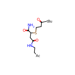 CC(=O)CCNC(=O)CC(SCCC(=O)C(C)(C)C)C(N)=O